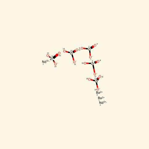 [Ba+2].[Ba+2].[Nd+3].[Nd+3].[O]=[Zr]([O-])[O-].[O]=[Zr]([O-])[O-].[O]=[Zr]([O-])[O-].[O]=[Zr]([O-])[O-].[O]=[Zr]([O-])[O-]